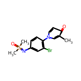 Cc1cn(-c2ccc(N=S(C)(C)=O)cc2Br)ccc1=O